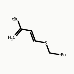 C=C(/C=C/SCC(C)(C)C)C(C)(C)C